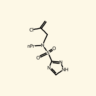 C=C(Cl)CN(CCC)S(=O)(=O)c1nc[nH]n1